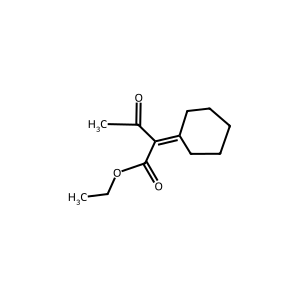 CCOC(=O)C(C(C)=O)=C1CCCCC1